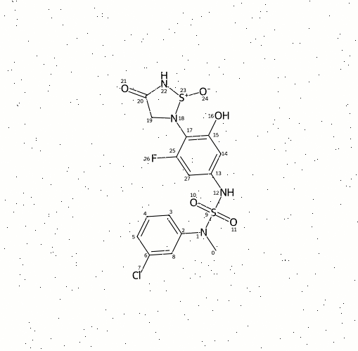 CN(c1cccc(Cl)c1)S(=O)(=O)Nc1cc(O)c(N2CC(=O)N[S+]2[O-])c(F)c1